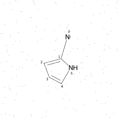 [N]c1ccc[nH]1